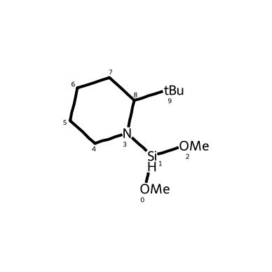 CO[SiH](OC)N1CCCCC1C(C)(C)C